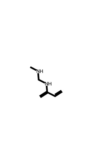 C=CC(=C)NCNC